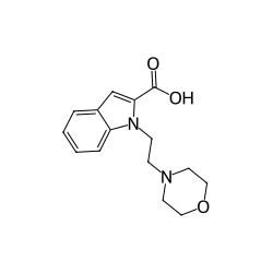 O=C(O)c1cc2ccccc2n1CCN1CCOCC1